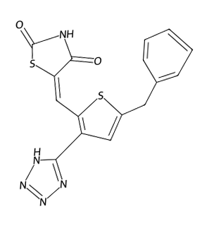 O=C1NC(=O)/C(=C\c2sc(Cc3ccccc3)cc2-c2nnn[nH]2)S1